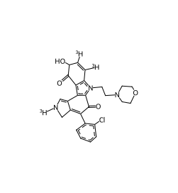 [3H]C1=C([3H])C(O)C(=O)c2c3c(n(CCN4CCOCC4)c21)C(=O)C(c1ccccc1Cl)=C1CN([3H])C=C13